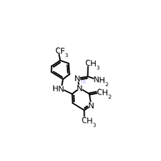 C=C1N=C(C)C=C(Nc2ccc(C(F)(F)F)cc2)N1/N=C(/C)N